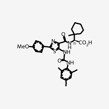 COc1ccc(-c2nc(C(=O)N[C@H](C(=O)O)C3(C)CCCCC3)c(NC(=O)Nc3c(C)cc(C)cc3C)s2)cc1